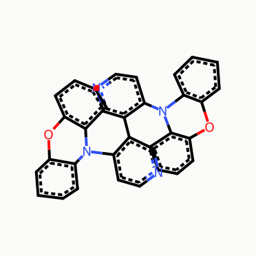 c1ccc2c(c1)Oc1ccccc1N2c1ccncc1-c1cnccc1N1c2ccccc2Oc2ccccc21